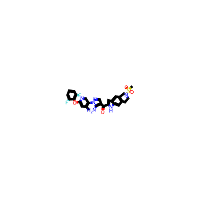 Cc1cc(Oc2c(F)cccc2F)ncc1-n1ncc(C(=O)c2cc3cc4c(cc3[nH]2)CCN(S(C)(=O)=O)C4)c1N